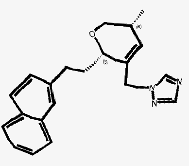 C[C@@H]1C=C(Cn2cncn2)[C@H](CCc2ccc3ccccc3c2)OC1